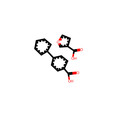 O=C(O)c1ccc(-c2ccccc2)cc1.O=C(O)c1ccoc1